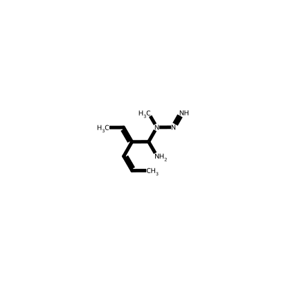 C/C=C\C(=C/C)C(N)N(C)N=N